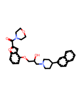 O=C(c1cc2c(OCC(O)CN3CCC(c4ccc5ccccc5c4)CC3)cccc2o1)N1CCOCC1